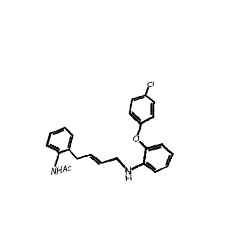 CC(=O)Nc1ccccc1CC=CCNc1ccccc1Oc1ccc(Cl)cc1